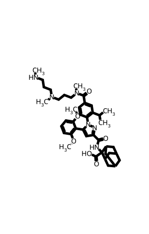 CNCCCN(C)CCCN(C)C(=O)c1ccc(-n2nc(C(=O)NC3(C(=O)O)C4CC5CC(C4)CC3C5)cc2-c2c(OC)cccc2OC)c(C(C)C)c1